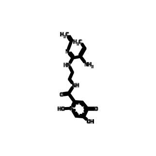 C=C/N=C(NCCNC(=O)c1cc(=O)c(O)cn1O)\C(N)=C/C